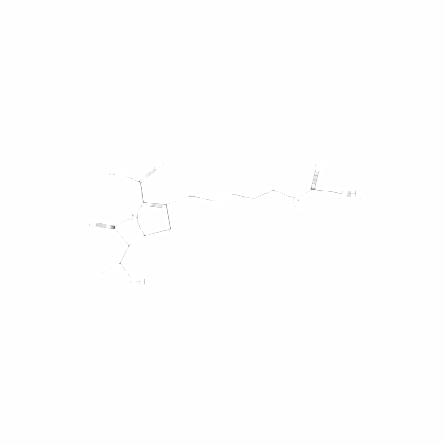 CC(O)C1C(=O)N2C(C(=O)O)=C(CSCCCNC(N)=O)CC12